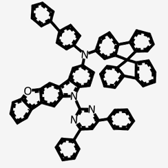 c1ccc(-c2ccc(N(c3ccc4c(c3)C3(c5ccccc5-c5ccccc53)c3ccccc3-4)c3ccc4c(c3)c3cc5oc6ccccc6c5cc3n4-c3nc(-c4ccccc4)cc(-c4ccccc4)n3)cc2)cc1